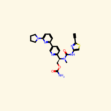 C#Cc1nc(NC(=O)N(C)[C@@H](COC(N)=O)c2ccc(-c3cccc(N4CCCC4)n3)cn2)cs1